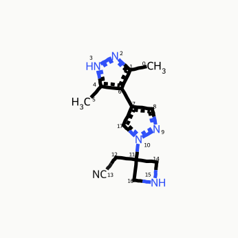 Cc1n[nH]c(C)c1-c1cnn(C2(CC#N)CNC2)c1